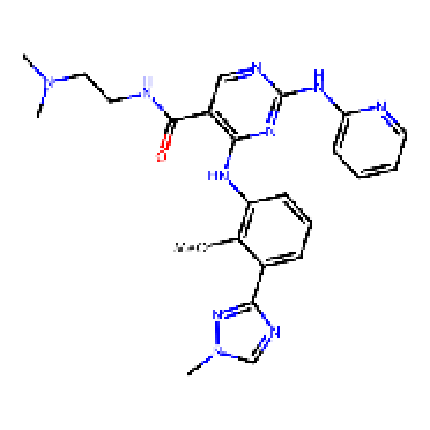 COc1c(Nc2nc(Nc3ccccn3)ncc2C(=O)NCCN(C)C)cccc1-c1ncn(C)n1